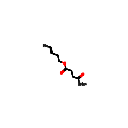 CCC=CCCOC(=O)CCC(=O)CCCCCC